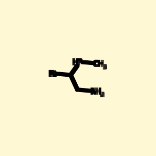 CCC(CN)PC